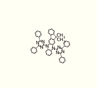 CC1(C)c2ccccc2-c2cc3c(cc21)N(c1nc(-c2ccccc2)nc(-c2ccccc2)n1)c1ccccc1N3c1nc(-c2ccccc2)nc(-c2ccccc2)n1